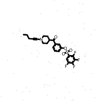 CCCC#CN1CCC(C(=O)c2cccc(OS(=O)(=O)c3cc(F)c(F)c(F)c3F)c2)CC1